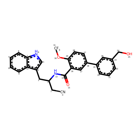 N#CCC(Cc1c[nH]c2ccccc12)NC(=O)c1cc(-c2cccc(CO)c2)ccc1OC(F)(F)F